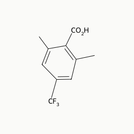 Cc1cc(C(F)(F)F)cc(C)c1C(=O)O